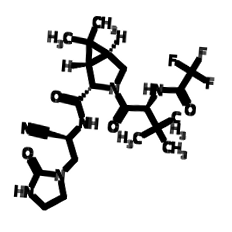 CC(C)(C)[C@H](NC(=O)C(F)(F)F)C(=O)N1C[C@H]2[C@H]([C@H]1C(=O)N[C@H](C#N)CN1CCNC1=O)C2(C)C